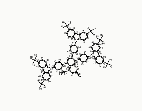 CC(C)(C)c1ccc2c(c1)c1cc(C(C)(C)C)ccc1n2-c1ccc(-c2cc(-c3ccc(-n4c5ccc(C(C)(C)C)cc5c5cc(C(C)(C)C)ccc54)cc3)c3c(C#N)cc(=O)sc3c2-c2ccc(-n3c4ccc(C(C)(C)C)cc4c4cc(C(C)(C)C)ccc43)cc2)cc1